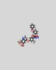 CCc1cc(Oc2ccnc3cc(OC)c(OC)cc23)ccc1NS(=O)(=O)c1cccc(Oc2ccccc2)c1